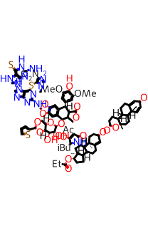 CCC(=O)O[C@H]1CC[C@H]2[C@@H]3CCC4=CC(=O)CC[C@]4(C)[C@H]3CC[C@]12C.CCC(C)C1NC(=O)C(C(C)=O)=C1O.COc1cc([C@@H]2c3cc4c(cc3C(O[C@@H]3O[C@@H]5COC(c6cccs6)O[C@H]5[C@H](O)[C@H]3O)C3COC(=O)[C@@H]32)OCO4)cc(OC)c1O.C[C@]12C=CC(=O)C=C1CC[C@@H]1[C@@H]2CC[C@]2(C)OC(=O)CC[C@@H]12.Cn1cnc([N+](=O)[O-])c1Sc1nc(N)nc2nc[nH]c12.Nc1nc2nc[nH]c2c(=S)[nH]1